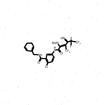 CN/C(C(=O)Nc1ccc(Cl)c(C(=O)NCC2=CCCC=C2)c1)=C(\C(=N)C(F)(F)C(F)(F)F)C(F)(F)F